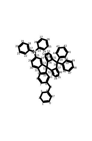 C1=CCCC(Cc2ccc3c(c2)C2(c4cc(N(c5ccccc5)c5ccccc5)ccc4-3)c3ccccc3C(c3ccccc3)(c3ccccc3)c3ccccc32)=C1